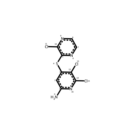 Nc1cc(Sc2nccnc2Cl)c(Cl)c(Cl)n1